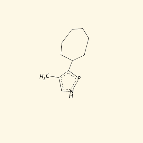 Cc1c[nH]pc1C1CCCCCC1